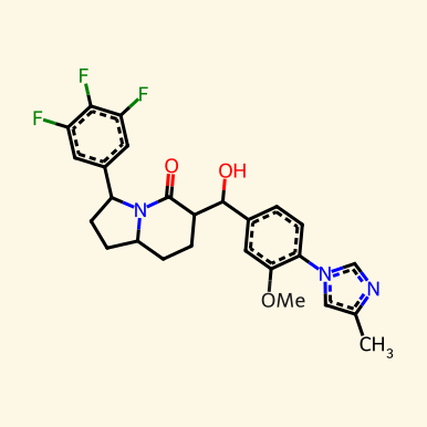 COc1cc(C(O)C2CCC3CCC(c4cc(F)c(F)c(F)c4)N3C2=O)ccc1-n1cnc(C)c1